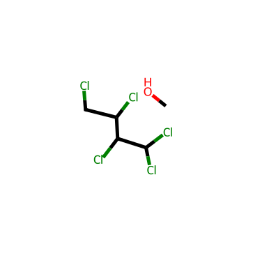 CO.ClCC(Cl)C(Cl)C(Cl)Cl